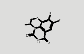 CC1COc2c(F)c(F)cc3c(=O)[nH]c(=O)n1c23